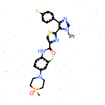 CC(C)n1cnc(-c2ccc(F)cc2)c1-c1nc(C(=O)Nc2ccc(N3CCP(C)(=O)CC3)cc2F)cs1